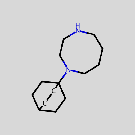 C1CCN(C23CCC(CC2)CC3)CCNC1